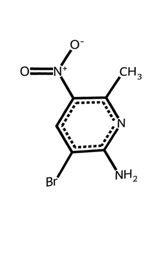 Cc1nc(N)c(Br)cc1[N+](=O)[O-]